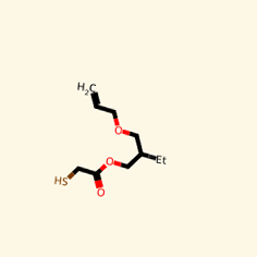 C=CCOCC(CC)COC(=O)CS